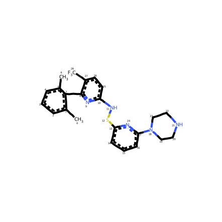 Cc1cccc(C)c1-c1nc(NSc2cccc(N3CCNCC3)n2)ccc1C(F)(F)F